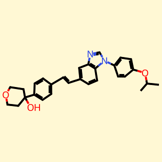 CC(C)Oc1ccc(-n2cnc3cc(C=Cc4ccc(C5(O)CCOCC5)cc4)ccc32)cc1